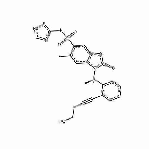 C[C@H](c1ccccc1C#CCCO)n1c(=O)oc2cc(S(=O)(=O)Nc3ncns3)c(F)cc21